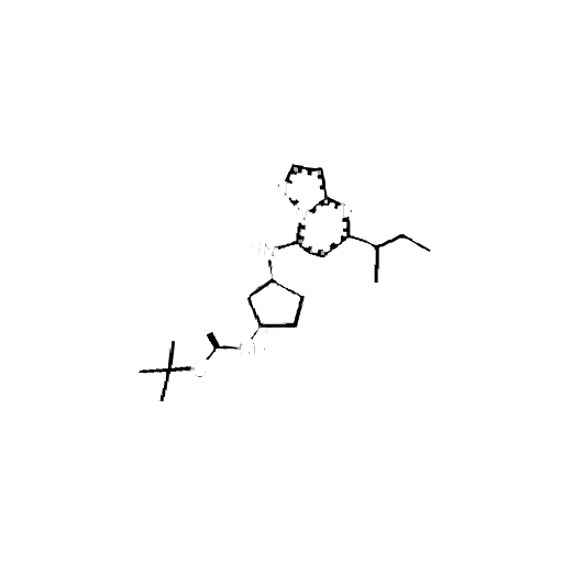 CCC(C)c1cc(N[C@H]2CC[C@@H](NC(=O)OC(C)(C)C)C2)n2nccc2n1